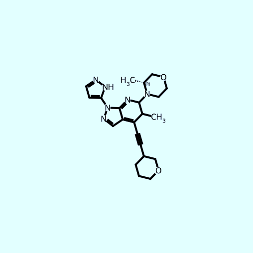 CC1C(C#CC2CCCOC2)=c2cnn(-c3ccn[nH]3)c2=NC1N1CCOC[C@H]1C